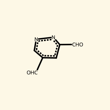 O=Cc1cnnc(C=O)c1